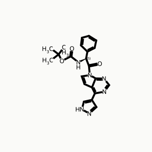 CC(C)(C)OC(=O)N[C@H](C(=O)n1ccc2c(-c3cn[nH]c3)ncnc21)c1ccccc1